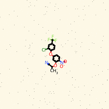 CC(C#N)Oc1cc(Oc2ccc(C(F)(F)F)cc2Cl)ccc1[N+](=O)[O-]